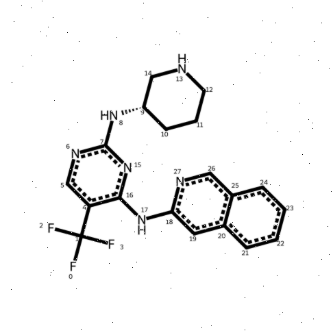 FC(F)(F)c1cnc(N[C@H]2CCCNC2)nc1Nc1cc2ccccc2cn1